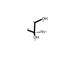 [2H][C@@](C)(O)CO